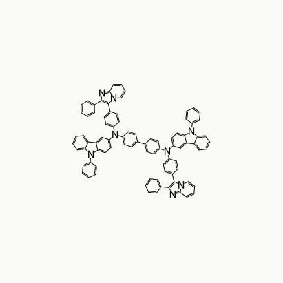 c1ccc(-c2nc3ccccn3c2-c2ccc(N(c3ccc(-c4ccc(N(c5ccc(-c6c(-c7ccccc7)nc7ccccn67)cc5)c5ccc6c(c5)c5ccccc5n6-c5ccccc5)cc4)cc3)c3ccc4c(c3)c3ccccc3n4-c3ccccc3)cc2)cc1